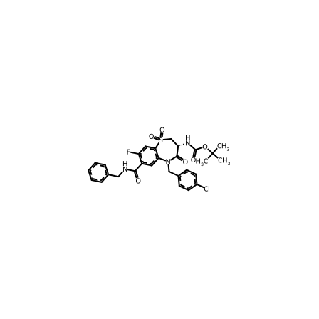 CC(C)(C)OC(=O)N[C@H]1CS(=O)(=O)c2cc(F)c(C(=O)NCc3ccccc3)cc2N(Cc2ccc(Cl)cc2)C1=O